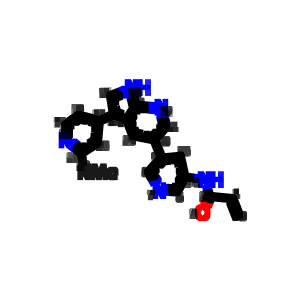 C=CC(=O)Nc1cncc(-c2cnc3[nH]cc(-c4ccnc(NC)c4)c3c2)c1